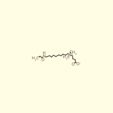 C=CC(=O)NCCCCCCCCCC[N+](C)(C)CCCC(=O)[O-]